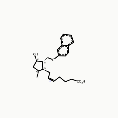 O=C(O)CCC/C=C\C[C@@H]1[C@@H](COc2ccc3ccccc3c2)[C@H](O)C[C@@H]1Cl